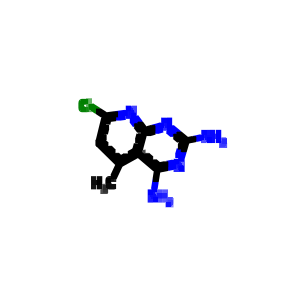 Cc1cc(Cl)nc2nc(N)nc(N)c12